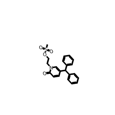 CS(=O)(=O)OCCn1cc(C(c2ccccc2)c2ccccc2)ccc1=O